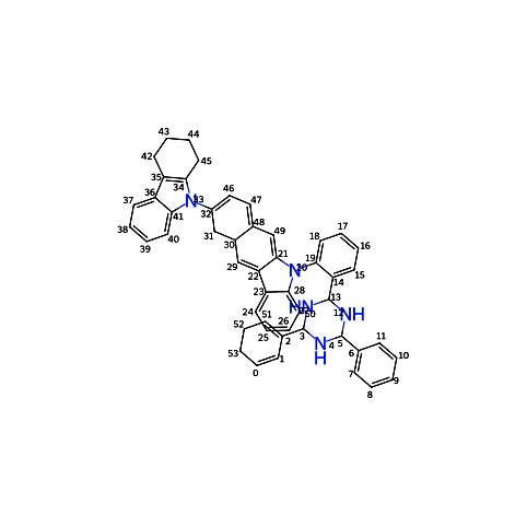 C1=CC(C2NC(c3ccccc3)NC(c3ccccc3-n3c4c(c5ccccc53)=CC3CC(n5c6c(c7ccccc75)CCCC6)=CC=C3C=4)N2)=CCC1